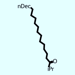 CCCCCCCCCCCCCCCCCCCCCCC(=O)C(C)C